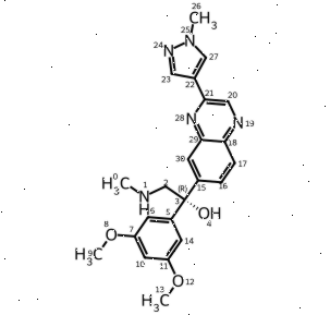 CNC[C@](O)(c1cc(OC)cc(OC)c1)c1ccc2ncc(-c3cnn(C)c3)nc2c1